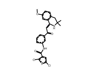 COc1ccc2c(c1)/C(=C/C(=O)c1cccc(NC(=O)c3cc(Cl)sc3Cl)c1)NC(C)(C)C2